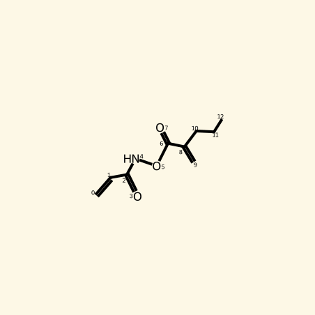 C=CC(=O)NOC(=O)C(=C)CCC